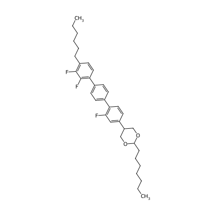 CCCCCCCC1OCC(c2ccc(-c3ccc(-c4ccc(CCCCCC)c(F)c4F)cc3)c(F)c2)CO1